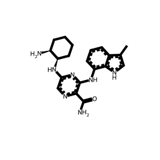 Cc1c[nH]c2c(Nc3nc(N[C@@H]4CCCC[C@@H]4N)cnc3C(N)=O)cccc12